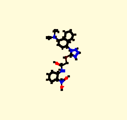 CN(C)c1ccc(-n2nnnc2SCC(=O)Nc2ccccc2[N+](=O)[O-])c2ccccc12